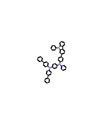 c1ccc(-c2ccc(N(c3ccc(-c4ccccc4)cc3)c3ccc(N(c4ccccc4)c4ccc(-c5ccc6c7ccccc7n(-c7ccccc7)c6c5)cc4)cc3)cc2)cc1